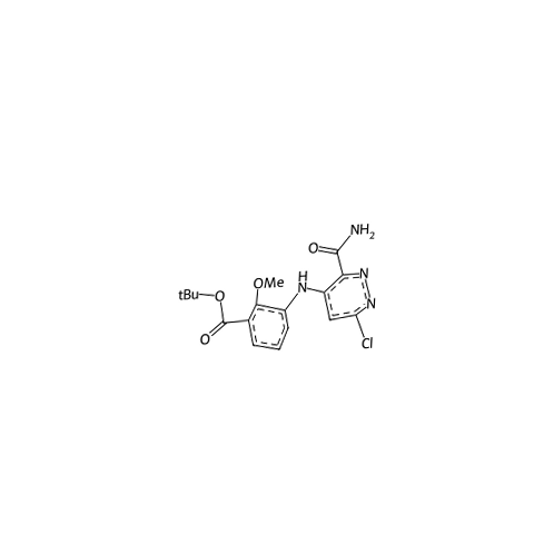 COc1c(Nc2cc(Cl)nnc2C(N)=O)cccc1C(=O)OC(C)(C)C